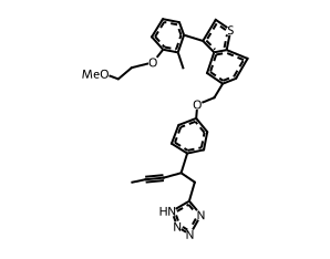 CC#CC(Cc1nnn[nH]1)c1ccc(OCc2ccc3scc(-c4cccc(OCCOC)c4C)c3c2)cc1